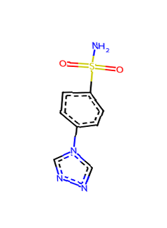 NS(=O)(=O)c1ccc(-n2cnnc2)cc1